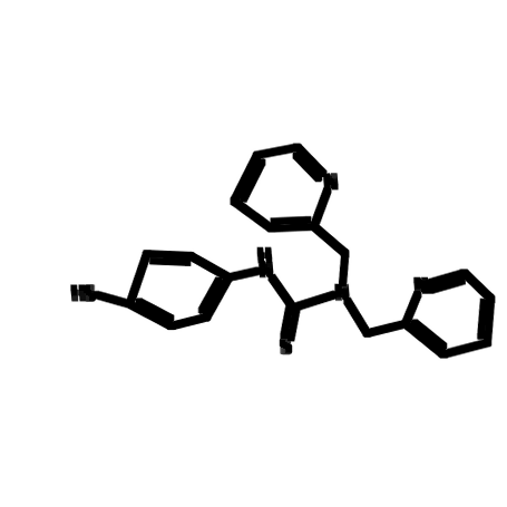 S=C(Nc1ccc(S)cc1)N(Cc1ccccn1)Cc1ccccn1